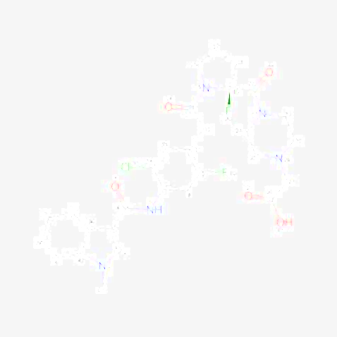 Cn1cc(C(=O)Nc2cc(F)c(CC(=O)N3CCC[C@]3(F)C(=O)N3CCN(CC(=O)O)CC3)cc2Cl)c2ccccc21